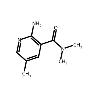 Cc1cnc(N)c(C(=O)N(C)C)c1